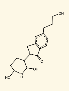 O=C1c2ccc(CCCO)cc2CN1C1CCC(O)NC1O